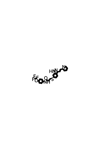 O=C(CCSc1ccc2c(C=Cc3ccccn3)n[nH]c2c1)Nc1ccc(OC(F)(F)F)cc1